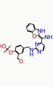 CC(C)(O)Oc1ccc(CNc2nccc(/C(N)=C3/Nc4ccccc4O3)n2)cc1C=O